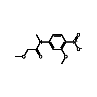 COCC(=O)N(C)c1ccc([N+](=O)[O-])c(OC)c1